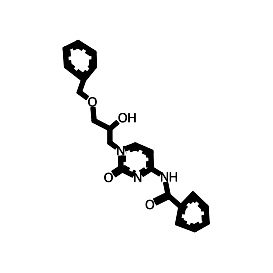 O=C(Nc1ccn(CC(O)COCc2ccccc2)c(=O)n1)c1ccccc1